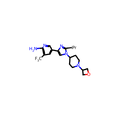 CC(C)c1nc(-c2cnc(N)c(C(F)(F)F)c2)cn1C1CCN(C2COC2)CC1